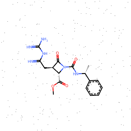 COC(=O)[C@@H]1[C@@H](CC(=N)NC(=N)N)C(=O)N1C(=O)N[C@H](C)c1ccccc1